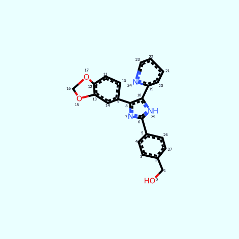 OCc1ccc(-c2nc(-c3ccc4c(c3)OCO4)c(-c3ccccn3)[nH]2)cc1